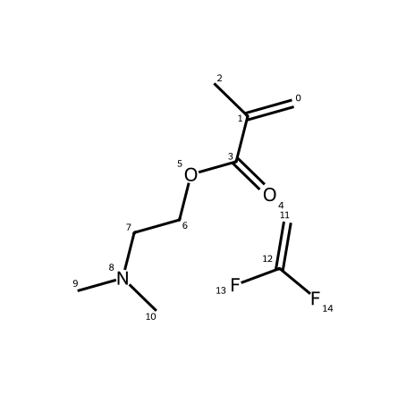 C=C(C)C(=O)OCCN(C)C.C=C(F)F